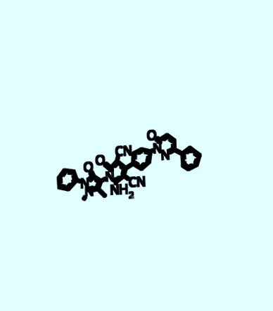 Cc1c(-n2c(N)c(C#N)c(-c3ccc(-n4nc(-c5ccccc5)ccc4=O)cc3)c(C#N)c2=O)c(=O)n(-c2ccccc2)n1C